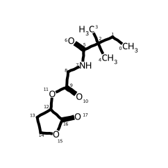 CCC(C)(C)C(=O)NCC(=O)OC1CCOC1=O